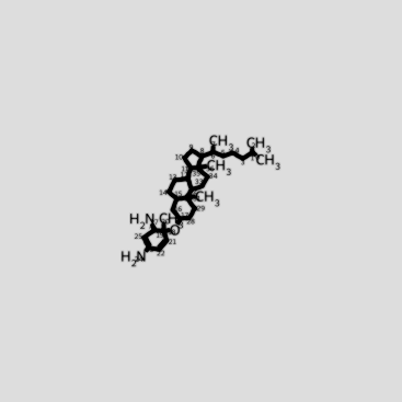 CC(C)CCCC(C)C1CCC2C3CCC4CC(OC5(C)C=CC(N)=CC5N)CCC4(C)C3CCC12C